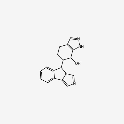 OC1c2[nH]ncc2CCC1C1c2ccccc2-c2cncn21